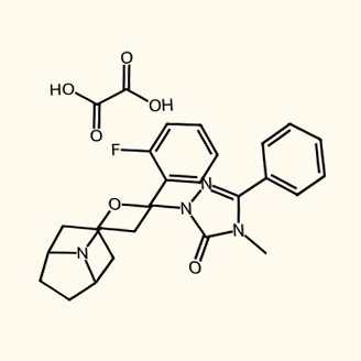 Cn1c(-c2ccccc2)nn(CCCN2C3CCC2CC(OCc2ccccc2F)C3)c1=O.O=C(O)C(=O)O